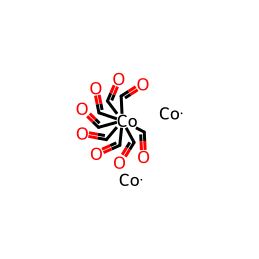 O=[CH][Co]([CH]=O)([CH]=O)([CH]=O)([CH]=O)([CH]=O)([CH]=O)[CH]=O.[Co].[Co]